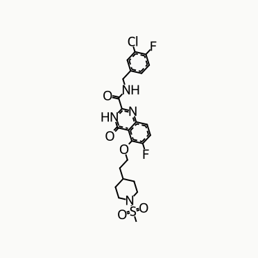 CS(=O)(=O)N1CCC(CCOc2c(F)ccc3nc(C(=O)NCc4ccc(F)c(Cl)c4)[nH]c(=O)c23)CC1